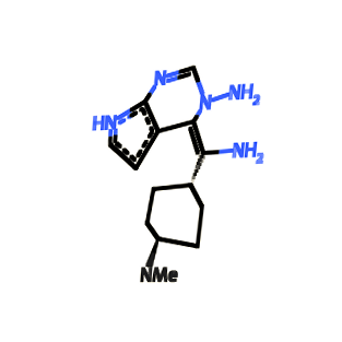 CN[C@H]1CC[C@H](/C(N)=C2\c3cc[nH]c3N=CN2N)CC1